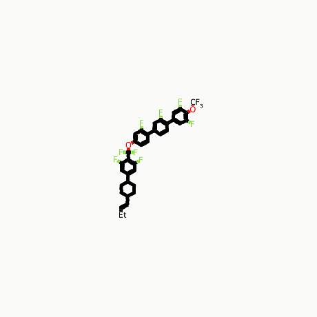 CC/C=C/C1CCC(c2cc(F)c(C(F)(F)Oc3ccc(-c4ccc(-c5cc(F)c(OC(F)(F)F)c(F)c5)c(F)c4)c(F)c3)c(F)c2)CC1